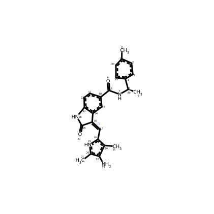 Cc1ccc([C@@H](C)NC(=O)c2ccc3c(c2)/C(=C/c2[nH]c(C)c(N)c2C)C(=O)N3)cc1